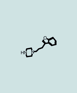 c1ccc2c(CCCN3CCNCC3)coc2c1